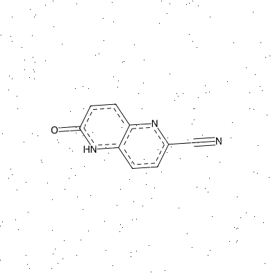 N#Cc1ccc2[nH]c(=O)ccc2n1